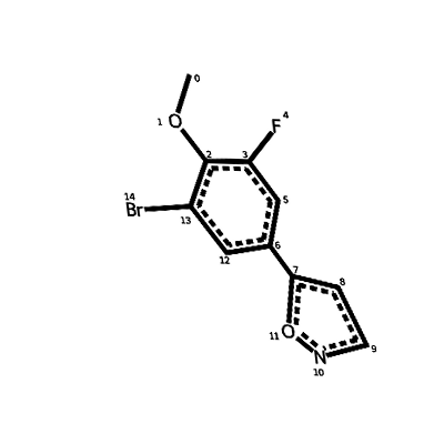 COc1c(F)cc(-c2ccno2)cc1Br